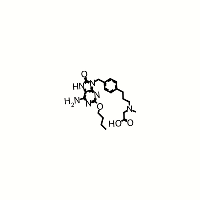 CCCCOc1nc(N)c2[nH]c(=O)n(Cc3ccc(CCCN(C)CC(=O)O)cc3)c2n1